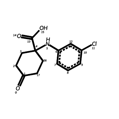 O=C1CCC(Nc2cccc(Cl)c2)(C(=O)O)CC1